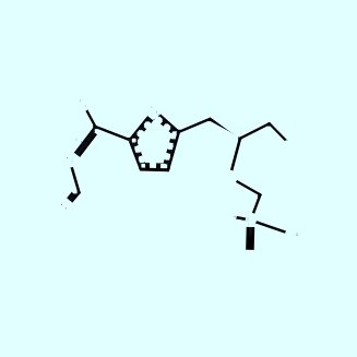 N=C/N=C(/N)c1ccc(C[C@@H](CF)OCP(=O)(O)O)[nH]1